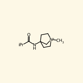 CC(C)C(=O)NC12CC[N+](C)(CC1)C2